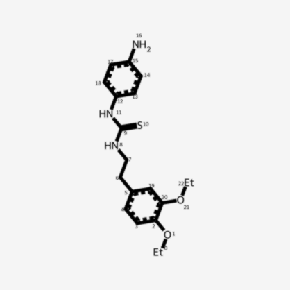 CCOc1ccc(CCNC(=S)Nc2ccc(N)cc2)cc1OCC